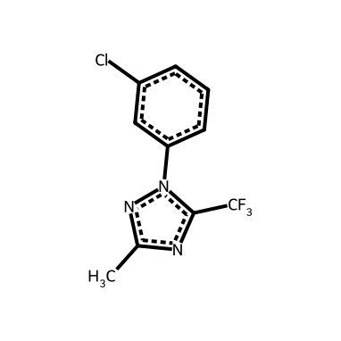 Cc1nc(C(F)(F)F)n(-c2cccc(Cl)c2)n1